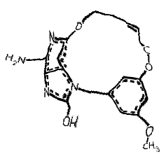 COc1cc2cc(c1)OC/C=C/CCOc1cc3c(nc(O)n3C2)c(N)n1